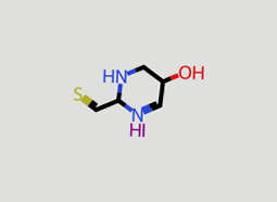 I.OC1C=NC(C=S)NC1